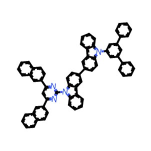 c1ccc(-c2cc(-c3ccccc3)cc(-n3c4ccccc4c4cc(-c5ccc6c(c5)c5ccccc5n6-c5nc(-c6ccc7ccccc7c6)cc(-c6ccc7ccccc7c6)n5)ccc43)c2)cc1